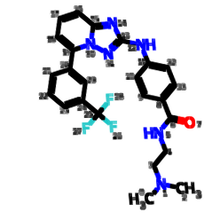 CN(C)CCNC(=O)c1ccc(Nc2nc3cccc(-c4cccc(C(F)(F)F)c4)n3n2)cc1